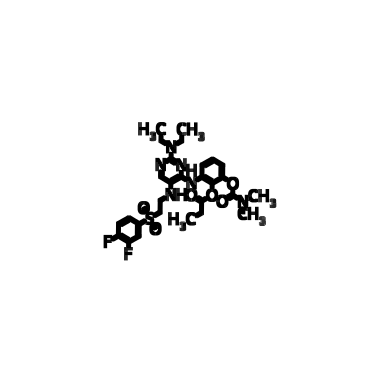 CCC(=O)Oc1c(Nc2nc(N(CC)CC)ncc2NCCS(=O)(=O)c2ccc(F)c(F)c2)cccc1OC(=O)N(C)C